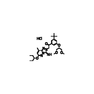 CCC(CC)Oc1cc(C)c2nn(CC(=O)c3cc(OC(COC)COC)cc(C(C)(C)C)c3)c(=N)n2n1.Cl